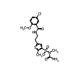 COc1ccc(Cl)cc1C(=O)NCCc1cc(S(=O)(=O)N(C)C(N)=O)c(C)s1